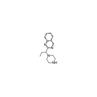 CCC(c1ncc2ccccc2n1)N1CCNCC1